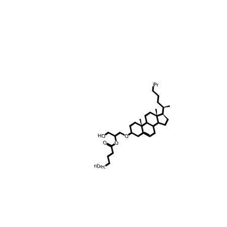 CCCCCCCCCCCCCC(=O)OC(CO)COC1CC[C@@]2(C)C(=CCC3C2CC[C@@]2(C)C3CC[C@@H]2[C@H](C)CCCC(C)C)C1